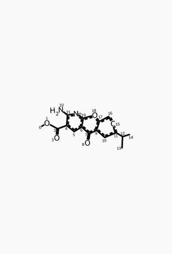 COC(=O)c1cc2c(=O)c3cc(C(C)C)ccc3oc2nc1N